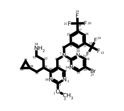 COc1ncc(CN(Cc2cc(C(F)(F)F)cc(C(F)(F)F)c2)c2ncc(Br)cn2)c(C(CCN)CC2CC2)n1